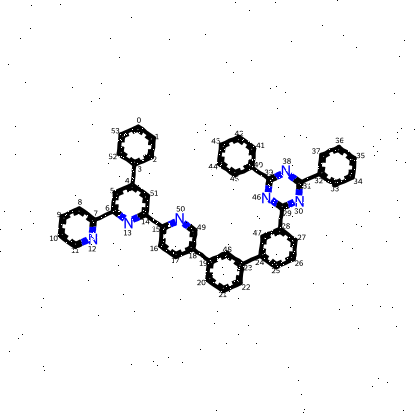 c1ccc(-c2cc(-c3ccccn3)nc(-c3ccc(-c4cccc(-c5cccc(-c6nc(-c7ccccc7)nc(-c7ccccc7)n6)c5)c4)cn3)c2)cc1